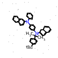 CC(C)(C)c1ccc(C(C)(C)N(C2=CC=C3C=CC=CC3C2)c2ccc(N(c3ccccc3)c3ccc4ccccc4c3)cc2)cc1